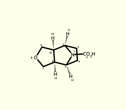 O=C(O)N1[C@@H]2CC[C@H]1[C@H]1COC[C@H]12